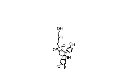 COc1cc2c3c([nH]c2cc1F)[C@@H](c1cccc(O)c1)N1C(=O)N(CCCNCCO)C(=O)[C@]1(C)C3